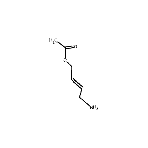 CC(=O)OCC=CCN